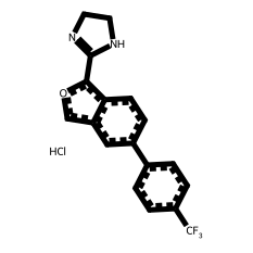 Cl.FC(F)(F)c1ccc(-c2ccc3c(C4=NCCN4)occ3c2)cc1